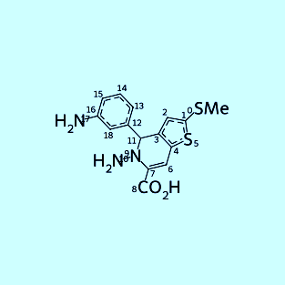 CSc1cc2c(s1)C=C(C(=O)O)N(N)C2c1cccc(N)c1